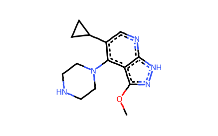 COc1n[nH]c2ncc(C3CC3)c(N3CCNCC3)c12